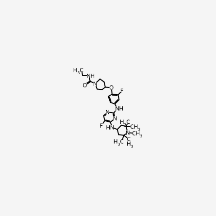 CCNC(=O)N1CCC(Oc2ccc(Nc3ncc(F)c(NC4CC(C)(C)N(C)C(C)(C)C4)n3)cc2F)CC1